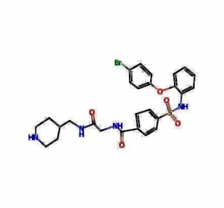 O=C(CNC(=O)c1ccc(S(=O)(=O)Nc2ccccc2Oc2ccc(Br)cc2)cc1)NCC1CCNCC1